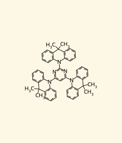 CC1(C)c2ccccc2N(c2cc(N3c4ccccc4C(C)(C)c4ccccc43)nc(N3c4ccccc4C(C)(C)c4ccccc43)n2)c2ccccc21